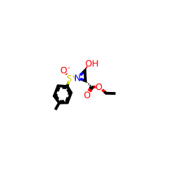 CCOC(=O)[C@H]1[C@@H](O)N1[S@+]([O-])c1ccc(C)cc1